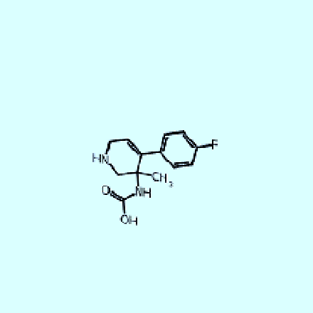 CC1(NC(=O)O)CNCC=C1c1ccc(F)cc1